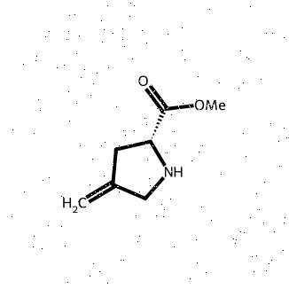 C=C1CN[C@@H](C(=O)OC)C1